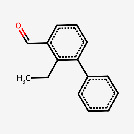 CCc1c(C=O)cccc1-c1ccccc1